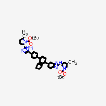 C[C@H]1C[C@@H](c2nc3ccc(-c4ccc(-c5ccc(-c6cnc([C@@H]7CC[C@H](C)N7C(=O)OC(C)(C)C)[nH]6)cc5)c5c4C4CCC5C4)cc3[nH]2)N(C(=O)OC(C)(C)C)C1